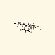 CCCC(C)O.NCCCCCCN